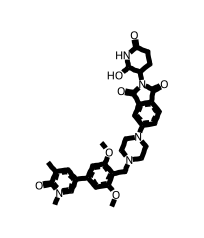 COc1cc(-c2cc(C)c(=O)n(C)c2)cc(OC)c1CN1CCN(c2ccc3c(c2)C(=O)N(C2CCC(=O)NC2O)C3=O)CC1